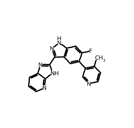 Cc1ccncc1-c1cc2c(-c3nc4cccnc4[nH]3)n[nH]c2cc1F